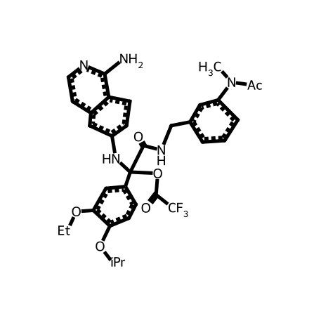 CCOc1cc(C(Nc2ccc3c(N)nccc3c2)(OC(=O)C(F)(F)F)C(=O)NCc2cccc(N(C)C(C)=O)c2)ccc1OC(C)C